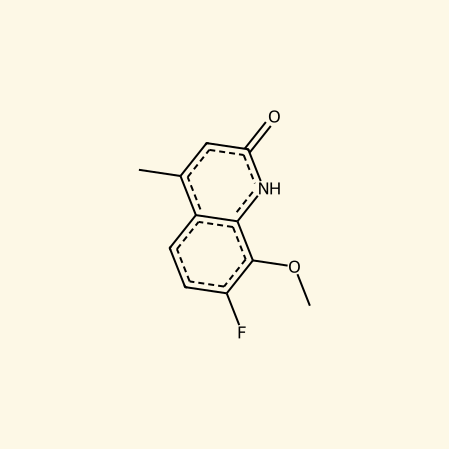 COc1c(F)ccc2c(C)cc(=O)[nH]c12